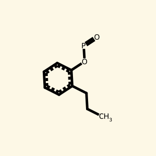 CCCc1ccccc1OP=O